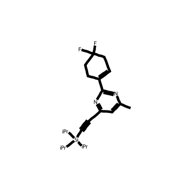 Cc1cc(C#C[Si](C(C)C)(C(C)C)C(C)C)nc(C2=CCC(F)(F)CC2)n1